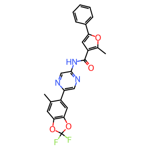 Cc1cc2c(cc1-c1cnc(NC(=O)c3cc(-c4ccccc4)oc3C)cn1)OC(F)(F)O2